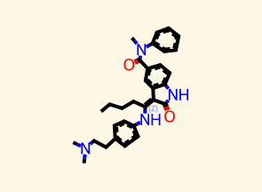 CCCC/C(Nc1ccc(CCN(C)C)cc1)=C1/C(=O)Nc2ccc(C(=O)N(C)c3ccccc3)cc21